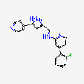 Clc1ccccc1-c1ccnc(NCc2cc(-c3ccncc3)[nH]n2)c1